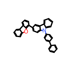 c1ccc(-c2ccc(-n3c4ccccc4c4cc(-c5cccc6c5oc5ccccc56)ccc43)cc2)cc1